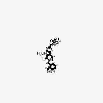 Cn1c2nc(CNS(C)(=O)=O)sc2c2cnn(Cc3cccc4[nH]ncc34)c(=O)c21